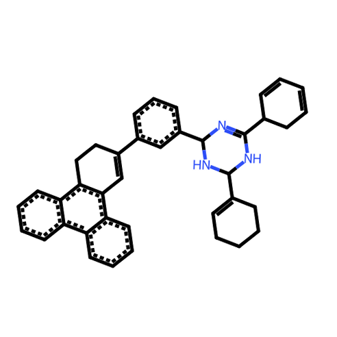 C1=CCC(C2=NC(c3cccc(C4=Cc5c(c6ccccc6c6ccccc56)CC4)c3)NC(C3=CCCCC3)N2)C=C1